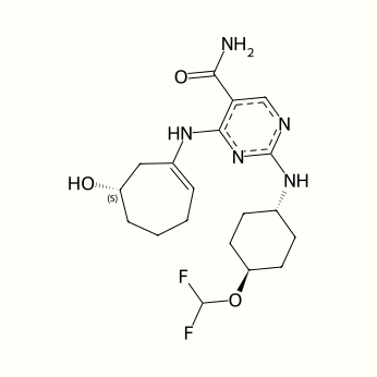 NC(=O)c1cnc(N[C@H]2CC[C@H](OC(F)F)CC2)nc1NC1=CCCC[C@H](O)C1